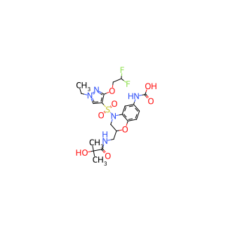 CCn1cc(S(=O)(=O)N2CC(CNC(=O)C(C)(C)O)Oc3ccc(NC(=O)O)cc32)c(OCC(F)F)n1